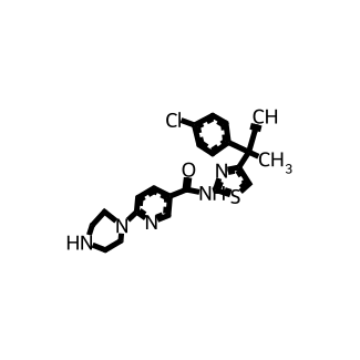 C#CC(C)(c1ccc(Cl)cc1)c1csc(NC(=O)c2ccc(N3CCNCC3)nc2)n1